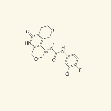 CN(C(=O)Nc1ccc(F)c(Cl)c1)[C@@H]1COCc2[nH]c(=O)c3c(c21)COCC3